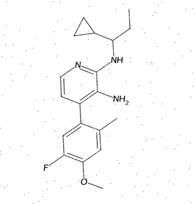 CCC(Nc1nccc(-c2cc(F)c(OC)cc2C)c1N)C1CC1